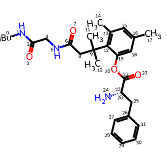 CCCCNC(=O)CNC(=O)CC(C)(C)c1c(C)cc(C)cc1OC(=O)[C@@H](N)Cc1ccccc1